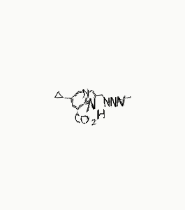 [N-]=[N+]=NCc1cn2cc(C3CC3)cc(C(=O)O)c2n1